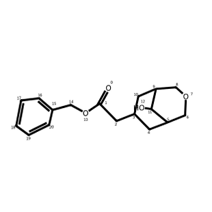 O=C(CC1CC2COCC(C1)C2O)OCc1ccccc1